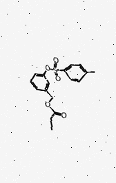 CCC(=O)OCc1cccc(OS(=O)(=O)c2ccc(C)cc2)c1